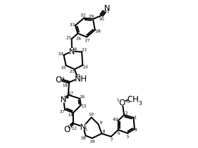 COc1cccc(CC2CCN(C(=O)c3ccc(C(=O)NC4CCN(Cc5ccc(C#N)cc5)CC4)nc3)CC2)c1